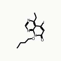 CCCCOn1c(=O)cc(I)c2c(CC)ncnc21